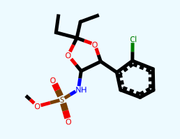 CCC1(CC)OC(NS(=O)(=O)OC)C(c2ccccc2Cl)O1